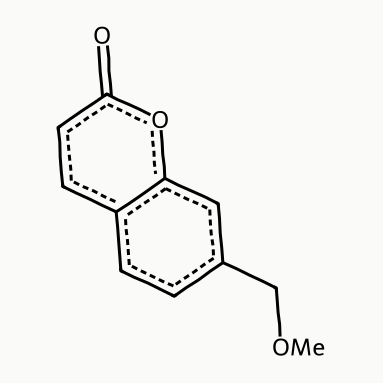 COCc1ccc2ccc(=O)oc2c1